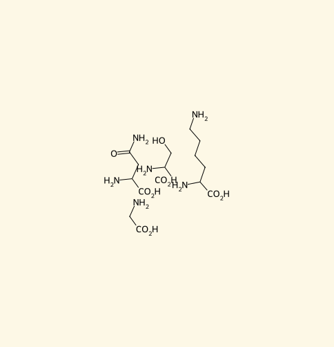 NC(=O)CC(N)C(=O)O.NC(CO)C(=O)O.NCC(=O)O.NCCCCC(N)C(=O)O